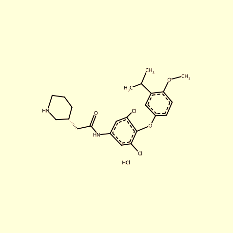 COc1ccc(Oc2c(Cl)cc(NC(=O)C[C@H]3CCCNC3)cc2Cl)cc1C(C)C.Cl